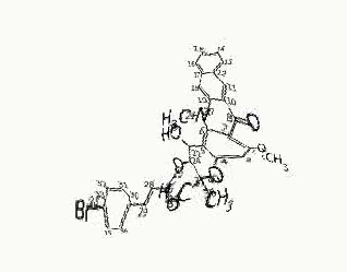 COc1cc2c(c3c1c(=O)c1cc4ccccc4cc1n3C)[C@H](O)[C@H](OC(=O)C=Cc1ccc(Br)cc1)C(C)(C)O2